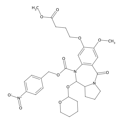 COC(=O)CCCOc1cc2c(cc1OC)C(=O)N1CCCC1C(OC1CCCCO1)N2C(=O)OCc1ccc([N+](=O)[O-])cc1